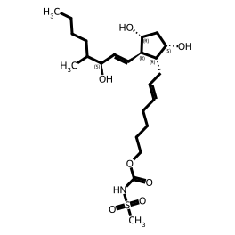 CCCCC(C)[C@H](O)C=C[C@@H]1[C@@H](CC=CCCCCOC(=O)NS(C)(=O)=O)[C@@H](O)C[C@H]1O